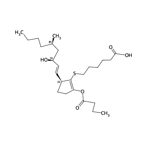 CCCC[C@@H](C)C[C@H](O)C=C[C@@H]1CCC(OC(=O)CCC)=C1SCCCCCC(=O)O